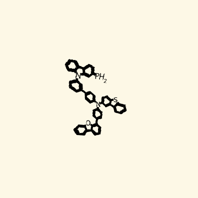 Pc1ccc2c3ccccc3n(-c3cccc(-c4ccc(N(c5ccc(-c6cccc7c6oc6ccccc67)cc5)c5ccc6sc7ccccc7c6c5)cc4)c3)c2c1